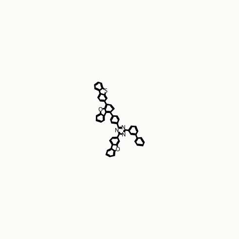 c1ccc(-c2cccc(-c3nc(-c4ccc(-c5ccc(-c6ccc7c(c6)sc6ccccc67)c6oc7ccccc7c56)cc4)nc(-c4ccc5c(c4)oc4ccccc45)n3)c2)cc1